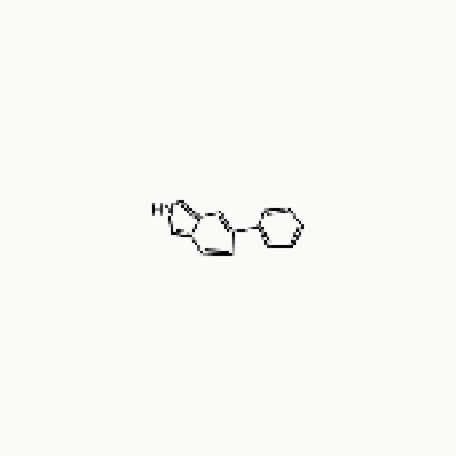 c1ccc(-c2ccc3c[nH]cc3c2)cc1